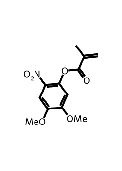 C=C(C)C(=O)Oc1cc(OC)c(OC)cc1[N+](=O)[O-]